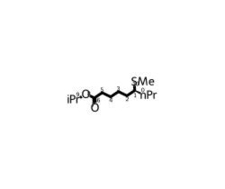 CCC[C@@H](CCCCC(=O)OC(C)C)SC